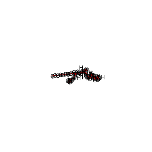 COCCOCCOCCOCCOCCOCCOCCOCCNC(=O)[C@H](CCC(=O)NCC(=O)NCC(=O)N[C@@H](Cc1ccccc1)C(=O)NCC(=O)NCO[C@H](C(=O)NCc1c2c(nc3cc(F)c(C)cc13)-c1cc3c(c(=O)n1C2)COC(=O)[C@]3(O)CC1CC1)C1CC1)NCCCCC#Cc1cnc(S(C)(=O)=O)nc1